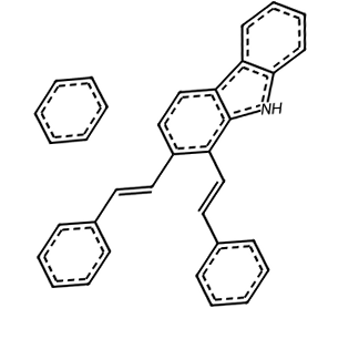 C(=Cc1ccc2c([nH]c3ccccc32)c1C=Cc1ccccc1)c1ccccc1.c1ccccc1